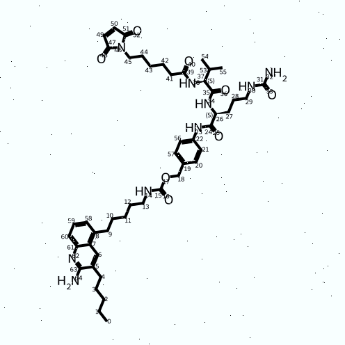 CCCCCc1cc2c(CCCCCNC(=O)OCc3ccc(NC(=O)[C@H](CCCNC(N)=O)NC(=O)[C@@H](NC(=O)CCCCCN4C(=O)C=CC4=O)C(C)C)cc3)cccc2nc1N